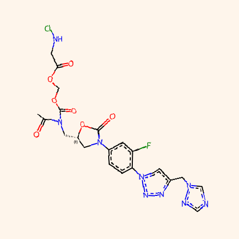 CC(=O)N(C[C@H]1CN(c2ccc(-n3cc(Cn4cncn4)nn3)c(F)c2)C(=O)O1)C(=O)OCOC(=O)CNCl